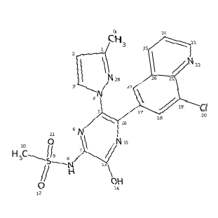 Cc1ccn(-c2nc(NS(C)(=O)=O)c(O)nc2-c2cc(Cl)c3ncccc3c2)n1